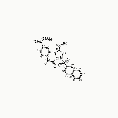 COC(=O)c1ccc(N(C)C(=O)[C@@H]2C[C@@H](SC(C)=O)CN2S(=O)(=O)c2ccc3ccccc3c2)cc1